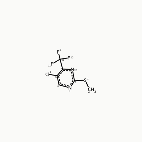 CSc1ncc(Cl)c(C(F)(F)F)n1